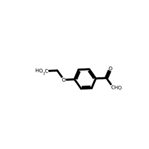 O=CC(=O)c1ccc(OCC(=O)O)cc1